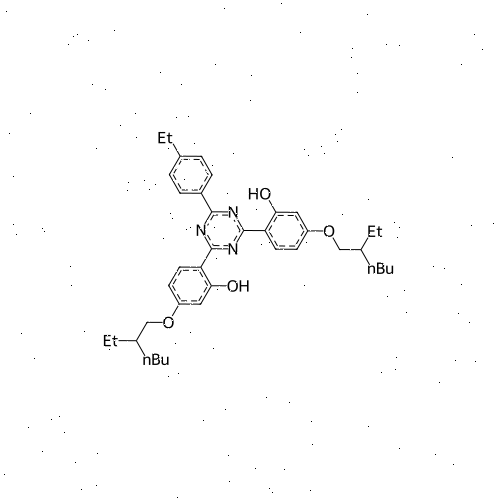 CCCCC(CC)COc1ccc(-c2nc(-c3ccc(CC)cc3)nc(-c3ccc(OCC(CC)CCCC)cc3O)n2)c(O)c1